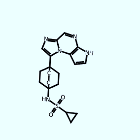 O=S(=O)(NC12CCC(c3cnc4cnc5[nH]ccc5n34)(CC1)CC2)C1CC1